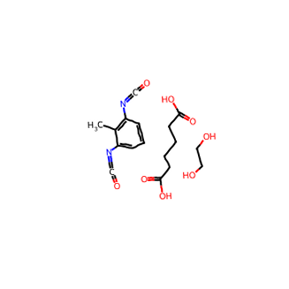 Cc1c(N=C=O)cccc1N=C=O.O=C(O)CCCCC(=O)O.OCCO